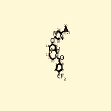 O=C(c1ccc(C(F)(F)F)cc1)N1CCCN2C[C@@H](Oc3cnc(C4CC4)cn3)C[C@H]2C1